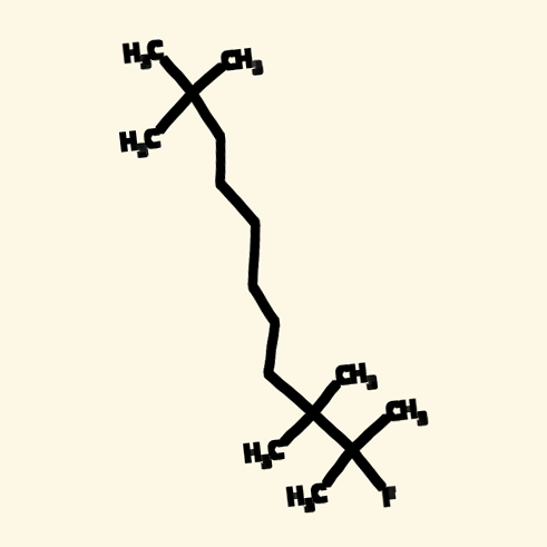 CC(C)(C)CCCCCCC(C)(C)C(C)(C)F